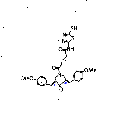 COc1ccc(/C=C2\CN(C(=O)CCCC(=O)Nc3nnc(S)s3)C/C(=C\c3ccc(OC)cc3)C2=O)cc1